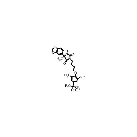 CCCc1cc(C(O)(C(F)(F)F)C(F)(F)F)cc(C)c1OCCCCN1C(=O)NC(C)(c2ccc3c(c2)OCO3)C1=O